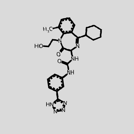 Cc1cccc2c1N(CCO)C(=O)C(NC(=O)Nc1cccc(-c3nnn[nH]3)c1)N=C2C1CCCCC1